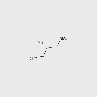 CNCCCCl.Cl